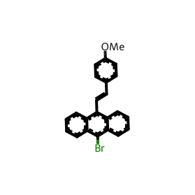 COc1ccc(C=Cc2c3ccccc3c(Br)c3ccccc23)cc1